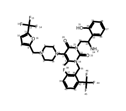 Cc1c(N2CCN(Cc3ccc(C(F)(F)F)o3)CC2)c(=O)n(CC(N)c2ccccc2O)c(=O)n1Cc1c(F)cccc1C(F)(F)F